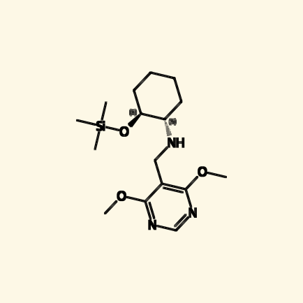 COc1ncnc(OC)c1CN[C@H]1CCCC[C@@H]1O[Si](C)(C)C